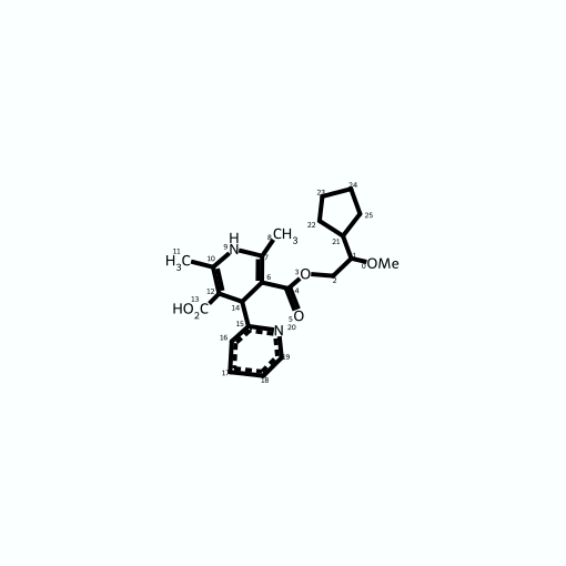 COC(COC(=O)C1=C(C)NC(C)=C(C(=O)O)C1c1ccccn1)C1CCCC1